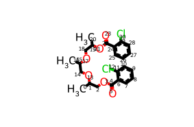 CC(COC(=O)c1ccccc1Cl)OCC(C)OCC(C)OC(=O)c1ccccc1Cl